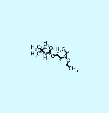 CCON(CC)CCOC(=O)NC(C)(C)C